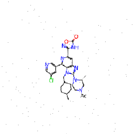 CC(=O)N1CCN(c2nc3cc(-c4noc(=O)[nH]4)nc(-c4cncc(Cl)c4)c3n2CC2CCC(C)CC2)[C@H](C)C1